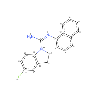 NC(=Nc1cccc2ccccc12)N1CCc2cc(F)ccc21